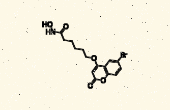 O=C(CCCCCOc1cc(=O)oc2ccc(Br)cc12)NO